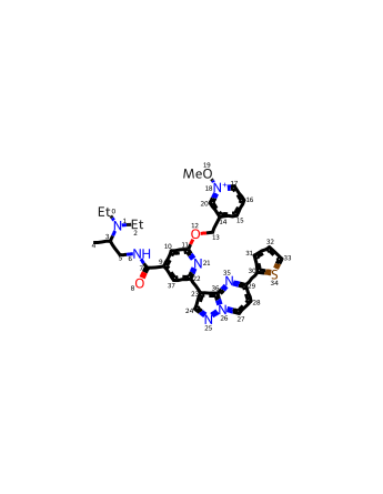 CCN(CC)C(C)CNC(=O)c1cc(OCc2ccc[n+](OC)c2)nc(-c2cnn3ccc(-c4cccs4)nc23)c1